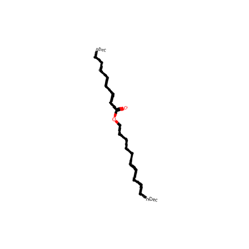 CCCCCCCCCCCCCCCCCCCCOC(=O)CCCCCCCCCCCCCCCCC